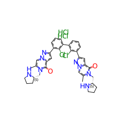 Cc1cn2nc(-c3cccc(-c4cccc(-c5cc6c(=O)n(C[C@@H]7CCCN7)c(C)cn6n5)c4Cl)c3Cl)cc2c(=O)n1C[C@@H]1CCCN1.Cl.Cl